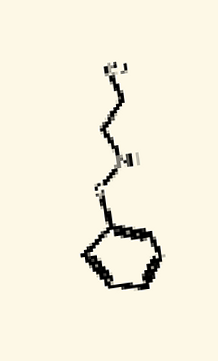 CCC(C)CCNSc1ccccc1